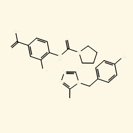 Cc1cc(C(N)=O)ccc1NC(=O)N1CCC[C@@H]1c1nnc(C)n1Cc1ccc(Cl)cc1